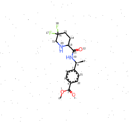 COC(=O)c1ccc([C@H](C)NC(=O)C2CCC(F)(F)CN2)cc1